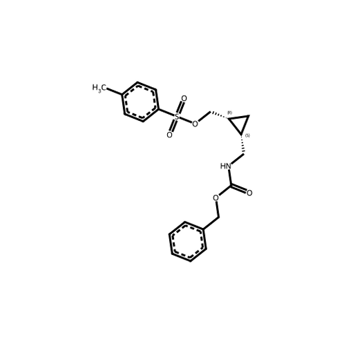 Cc1ccc(S(=O)(=O)OC[C@@H]2C[C@@H]2CNC(=O)OCc2ccccc2)cc1